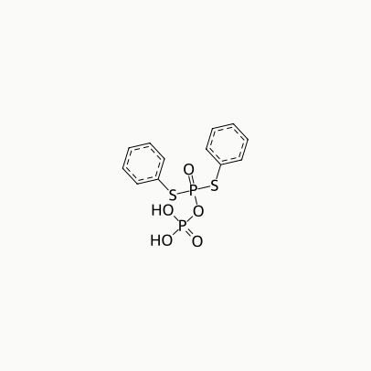 O=P(O)(O)OP(=O)(Sc1ccccc1)Sc1ccccc1